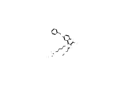 CCOCc1nc2c(N)nc3ccc(OCc4ccccc4)cc3c2n1CCCCNS(C)(=O)=O